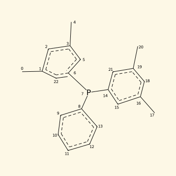 Cc1cc(C)cc(P(c2ccccc2)c2cc(C)cc(C)c2)c1